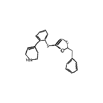 C1=C(Sc2ccccc2C2=CCNCC2)OC(Cc2ccccc2)O1